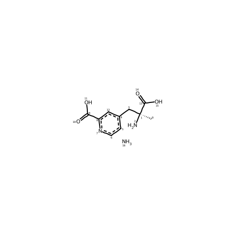 C[C@](N)(Cc1ccnc(C(=O)O)c1)C(=O)O.N